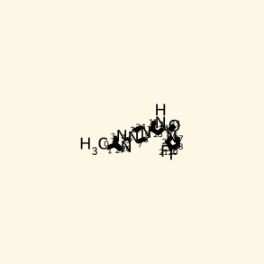 CCc1cnc(N2CCN([C@@H]3CN[C@H](C(=O)N4CCC(F)(F)C4)C3)CC2)nc1